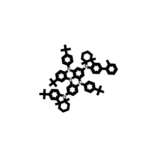 Cc1ccccc1-c1ccc2c(c1)C1(C)CCCCC1(C)N2c1cc2c3c(c1)N(c1ccc(C(C)(C)C)cc1)c1ccc(C(C)(C)C)cc1B3c1cc(N3c4ccc(C(C)(C)C)cc4C4(C)CCCCC34C)ccc1N2c1ccc(C(C)(C)C)cc1